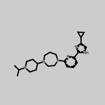 CC(C)N1CCC(N2CCCN(c3cccc(-c4nc(C5CC5)c[nH]4)n3)CC2)CC1